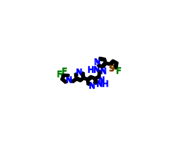 Fc1ccc(-c2ccnc3[nH]c(-c4n[nH]c5ncc(-c6cncc(CN7CCC(F)(F)C7)c6)cc45)nc23)s1